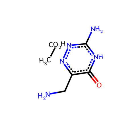 CC(=O)O.NCc1nnc(N)[nH]c1=O